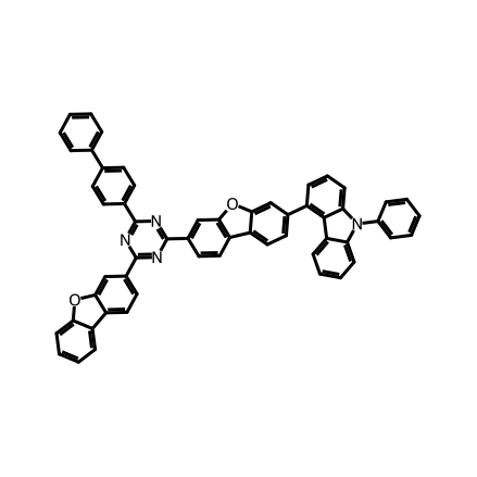 c1ccc(-c2ccc(-c3nc(-c4ccc5c(c4)oc4ccccc45)nc(-c4ccc5c(c4)oc4cc(-c6cccc7c6c6ccccc6n7-c6ccccc6)ccc45)n3)cc2)cc1